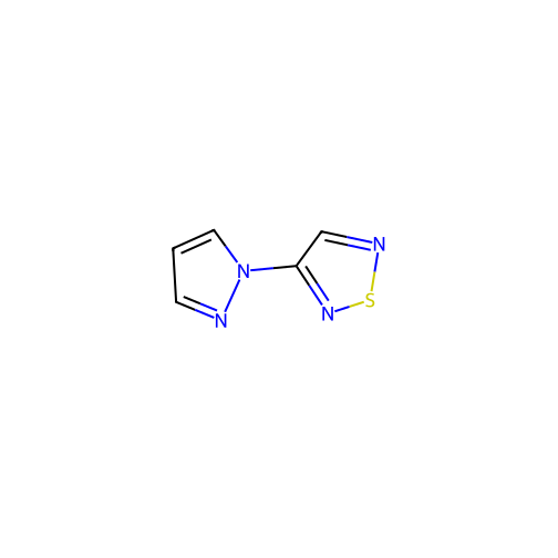 c1cnn(-c2cnsn2)c1